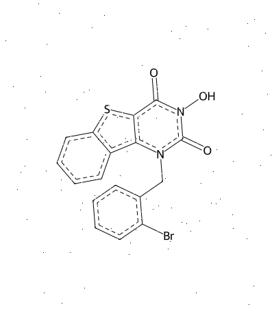 O=c1c2sc3ccccc3c2n(Cc2ccccc2Br)c(=O)n1O